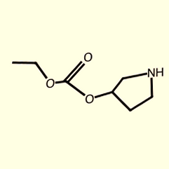 CCOC(=O)OC1CCNC1